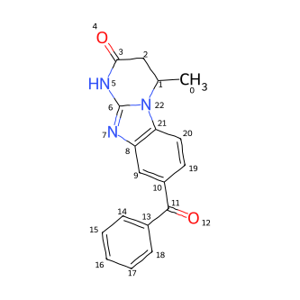 CC1CC(=O)Nc2nc3cc(C(=O)c4ccccc4)ccc3n21